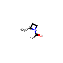 O=C(O)[C@H]1CCN1C(=O)C(F)(F)F